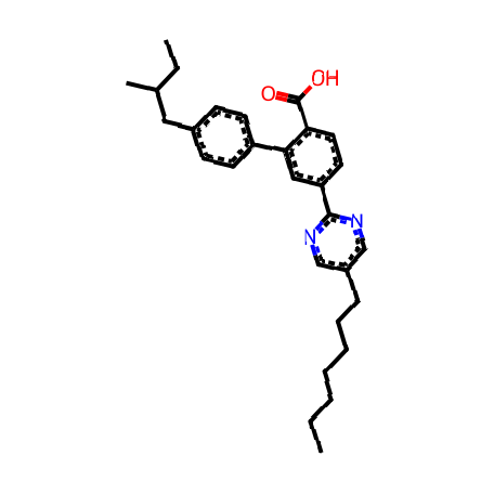 CCCCCCCc1cnc(-c2ccc(C(=O)O)c(-c3ccc(CC(C)CC)cc3)c2)nc1